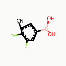 N#Cc1cc(B(O)O)cc(F)c1F